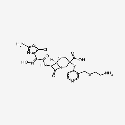 NCCSCc1cnccc1SC1(C(=O)O)CS[C@@H]2[C@H](NC(=O)C(=NO)c3nc(N)sc3Cl)C(=O)N2C1